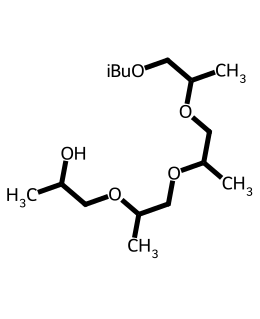 CC(C)COCC(C)OCC(C)OCC(C)OCC(C)O